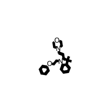 CC1(C)C(/C=C/N2CCOCC2)=[N+](CCOc2ccccc2)c2ccccc21